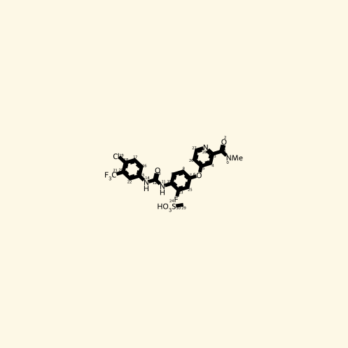 CNC(=O)c1cc(Oc2ccc(NC(=O)Nc3ccc(Cl)c(C(F)(F)F)c3)c(F)c2)ccn1.CS(=O)(=O)O